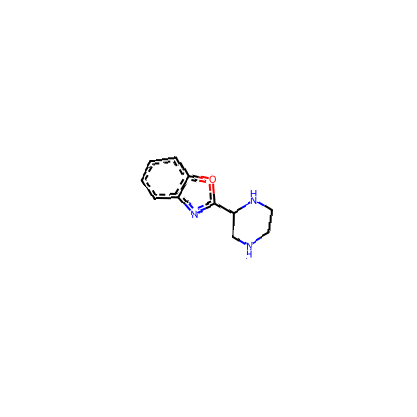 c1ccc2oc(C3CNCCN3)nc2c1